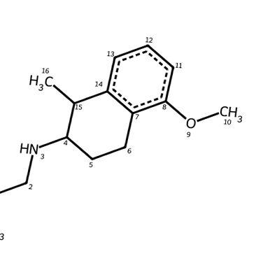 CCCNC1CCc2c(OC)cccc2C1C